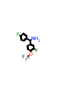 NC(c1ccc(F)cc1)c1ccc(OC(F)(F)F)c(F)c1